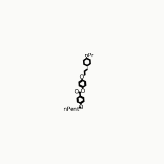 CCCCCOc1ccc(C(=O)Oc2ccc(OCCC[C@H]3CC[C@H](CCC)CC3)cc2)cc1